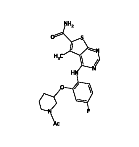 CC(=O)N1CCCC(Oc2cc(F)ccc2Nc2ncnc3sc(C(N)=O)c(C)c23)C1